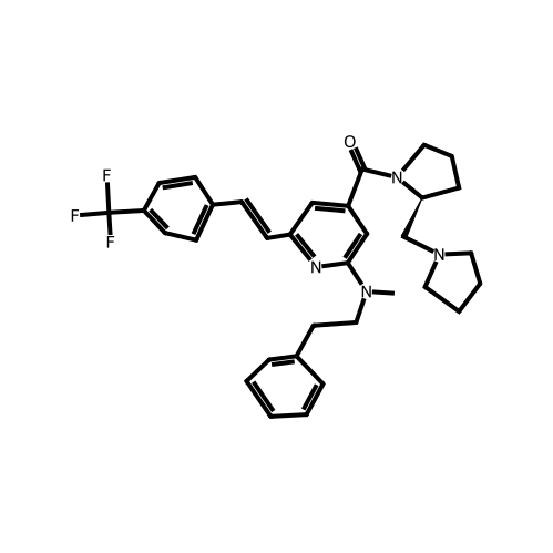 CN(CCc1ccccc1)c1cc(C(=O)N2CCC[C@H]2CN2CCCC2)cc(/C=C/c2ccc(C(F)(F)F)cc2)n1